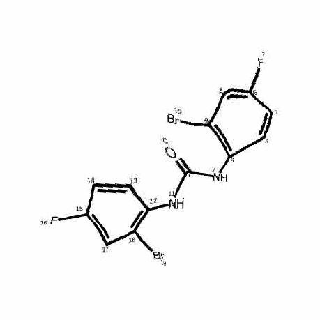 O=C(Nc1ccc(F)cc1Br)Nc1ccc(F)cc1Br